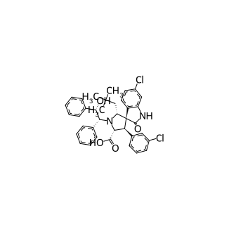 CC(C)(C)C[C@H]1N([C@H](c2ccccc2)[C@@H](O)c2ccccc2)[C@@H](C(=O)O)[C@H](c2cccc(Cl)c2)[C@@]12C(=O)Nc1cc(Cl)ccc12